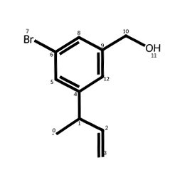 [CH2]C(C=C)c1cc(Br)cc(CO)c1